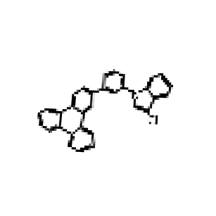 Clc1cn(-c2cccc(-c3ccc4c5ccccc5c5ccccc5c4c3)c2)c2ccccc12